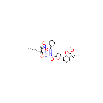 CCCCC[C@@H](C(=O)NCNC(=O)c1ccc(-c2cccc(C3(C(=O)OC)CC3)c2)o1)[C@@H](CC)N(C=O)OCc1ccccc1